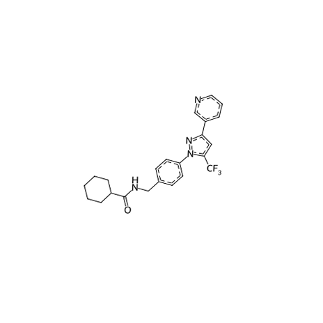 O=C(NCc1ccc(-n2nc(-c3cccnc3)cc2C(F)(F)F)cc1)C1CCCCC1